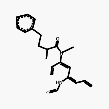 C=C/C=C(\C=C(/C=C)N(C)C(=O)C(C)CCc1ccccc1)NC=O